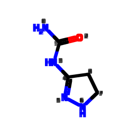 NC(=O)NC1=NNCC1